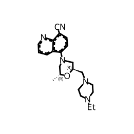 CCN1CCN(C[C@@H]2CN(c3ccc(C#N)c4ncccc34)C[C@@H](C)O2)CC1